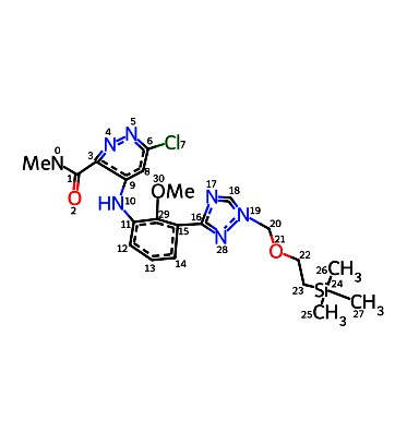 CNC(=O)c1nnc(Cl)cc1Nc1cccc(-c2ncn(COCC[Si](C)(C)C)n2)c1OC